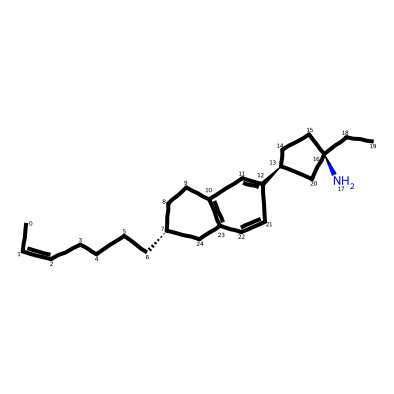 C/C=C\CCCC[C@@H]1CCc2cc([C@H]3CC[C@](N)(CC)C3)ccc2C1